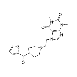 Cn1c(=O)c2c(ncn2CCN2CCC(C(=O)c3cccs3)CC2)n(C)c1=O